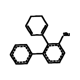 CC(C)(C)c1cccc(-c2ccccc2)c1C1=CCCC=C1